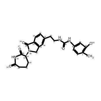 Cc1ccc(NC(=O)NCCc2ccc3c(c2)CN([C@H]2CCCC(=O)NC2=O)C3=O)cc1Cl